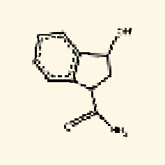 NC(=O)C1CC(O)c2c[c]ccc21